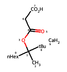 CCCCCCC(C)(OC(=O)CC(=O)O)C(C)(C)C.[CaH2]